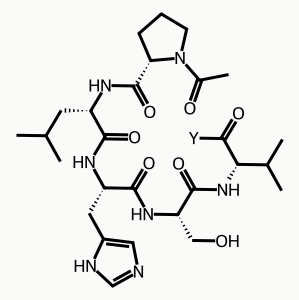 CC(=O)N1CCC[C@H]1C(=O)N[C@@H](CC(C)C)C(=O)N[C@@H](Cc1cnc[nH]1)C(=O)N[C@@H](CO)C(=O)N[C@H]([C](=O)[Y])C(C)C